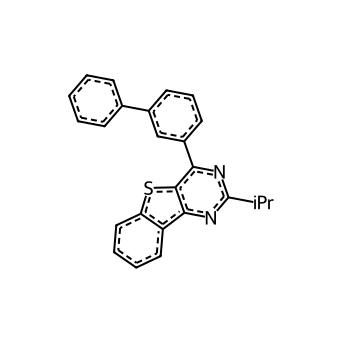 CC(C)c1nc(-c2cccc(-c3ccccc3)c2)c2sc3ccccc3c2n1